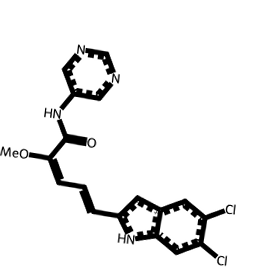 COC(=CC=Cc1cc2cc(Cl)c(Cl)cc2[nH]1)C(=O)Nc1cncnc1